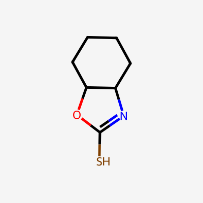 SC1=NC2CCCCC2O1